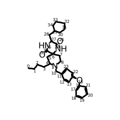 CCCCC1CC2(CCN1Cc1ccc(Oc3ccccc3)cc1)NC(=O)C(CC1CCCCC1)NC2=O